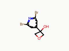 OC1(c2cc(Br)nc(Br)c2)COC1